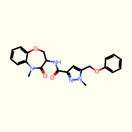 CN1C(=O)C(NC(=O)c2cc(COc3ccccc3)n(C)n2)COc2ccccc21